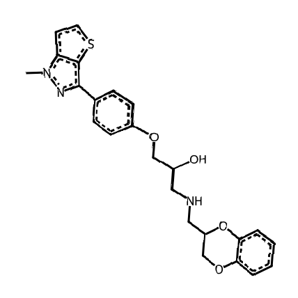 Cn1nc(-c2ccc(OCC(O)CNCC3COc4ccccc4O3)cc2)c2sccc21